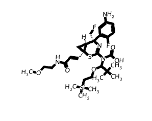 COCCNC(=O)C=C[C@]12C[C@H]1[C@@](CF)(c1cc(N)ccc1F)N=C(N(C(=O)O)C(OCC[Si](C)(C)C)C(C)(C)C)S2